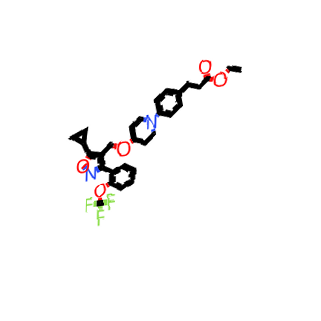 CCOC(=O)CCc1ccc(N2CCC(OCc3c(-c4ccccc4OC(F)(F)F)noc3C3CC3)CC2)cc1